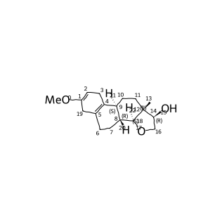 COC1=CCC2=C(CC[C@@H]3[C@@H]2CC[C@]2(C)[C@@H](O)CO[C@@H]32)C1